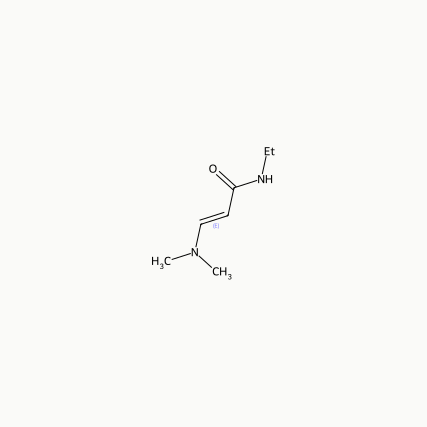 CCNC(=O)/C=C/N(C)C